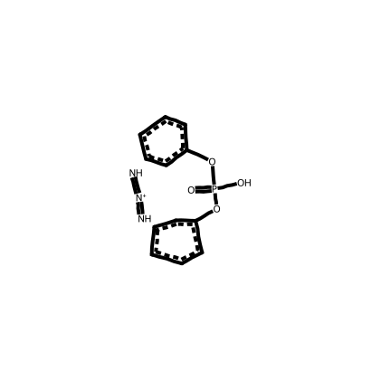 N=[N+]=N.O=P(O)(Oc1ccccc1)Oc1ccccc1